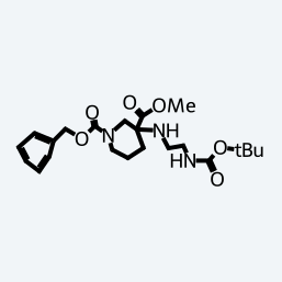 COC(=O)C1(NCCNC(=O)OC(C)(C)C)CCCN(C(=O)OCc2ccccc2)C1